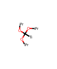 CC(C)O[C]([Ti])(OC(C)C)OC(C)C